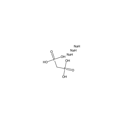 O=P(O)(O)CP(=O)(O)O.[NaH].[NaH].[NaH]